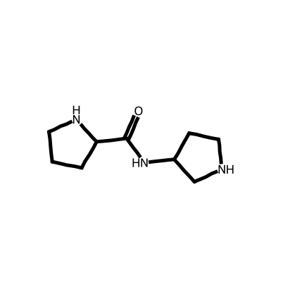 O=C(NC1CCNC1)C1CCCN1